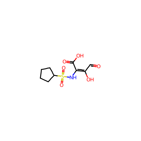 O=CC(O)=C(NS(=O)(=O)C1CCCC1)C(=O)O